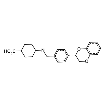 O=C(O)C1CCC(NCc2ccc([C@H]3COc4ccccc4O3)cc2)CC1